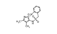 Cc1noc(NS(=O)(=O)Cc2ccccc2[N+](=O)[O-])c1C